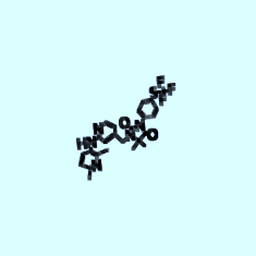 Cc1ccc(Nc2cc(CN3C(=O)N(c4ccc(SC(F)(F)F)cc4)C(=O)C3(C)C)ccn2)c(C)n1